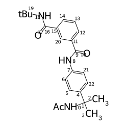 CC(=O)NC(C)(C)c1ccc(NC(=O)c2cccc(C(=O)NC(C)(C)C)c2)cc1